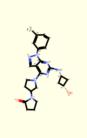 O=C1CCCN1C1CCN(c2nc(N[C@H]3C[C@@H](O)C3)nc3c2cnn3-c2cccc(C(F)(F)F)c2)C1